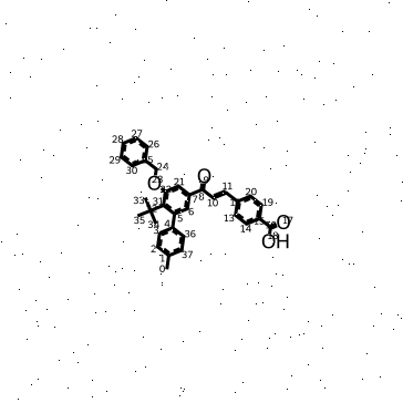 Cc1ccc(-c2cc(C(=O)C=Cc3ccc(C(=O)O)cc3)cc(OCc3ccccc3)c2C(C)(C)C)cc1